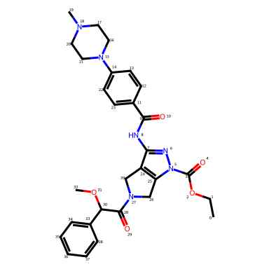 CCOC(=O)n1nc(NC(=O)c2ccc(N3CCN(C)CC3)cc2)c2c1CN(C(=O)C(OC)c1ccccc1)C2